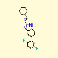 Fc1ccc(F)c(-c2ccc3[nH]c(/C=C/C4CCCCC4)nc3c2)c1